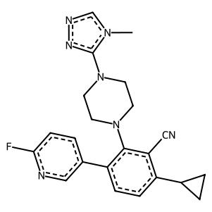 Cn1cnnc1N1CCN(c2c(-c3ccc(F)nc3)ccc(C3CC3)c2C#N)CC1